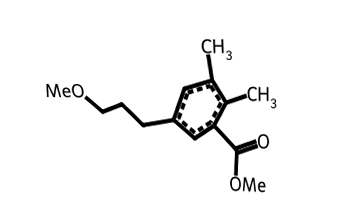 COCCCc1cc(C)c(C)c(C(=O)OC)c1